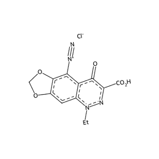 CCn1nc(C(=O)O)c(=O)c2c([N+]#N)c3c(cc21)OCO3.[Cl-]